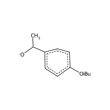 CC(C)COc1ccc(C(C)[O])cc1